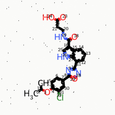 CC(C)Oc1ccc(-c2nc(-c3cccc4c(C(=O)NCCC(=O)O)c[nH]c34)no2)cc1Cl